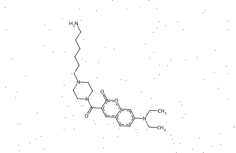 CCN(CC)c1ccc2cc(C(=O)N3CCN(CCCCCCN)CC3)c(=O)oc2c1